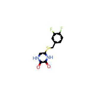 O=c1[nH]cc(SCc2ccc(F)c(F)c2)[nH]c1=O